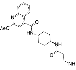 COc1cc(C(=O)N[C@H]2CC[C@H](NC(=O)CCN)CC2)c2ccccc2n1